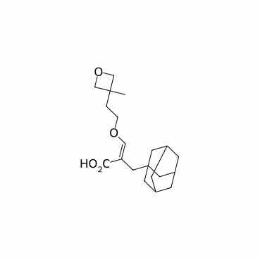 CC1(CCOC=C(CC23CC4CC(CC(C4)C2)C3)C(=O)O)COC1